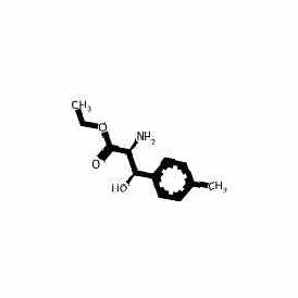 CCOC(=O)[C@@H](N)[C@H](O)c1ccc(C)cc1